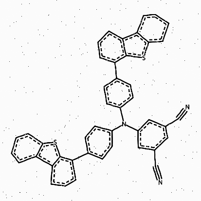 N#Cc1cc(C#N)cc(N(c2ccc(-c3cccc4c3sc3ccccc34)cc2)c2ccc(-c3cccc4c3sc3ccccc34)cc2)c1